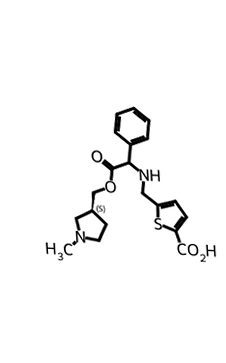 CN1CC[C@H](COC(=O)C(NCc2ccc(C(=O)O)s2)c2ccccc2)C1